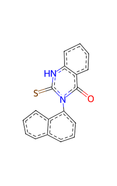 O=c1c2ccccc2[nH]c(=S)n1-c1cccc2ccccc12